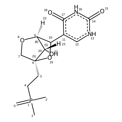 C=P(C)(C)CC[C@@]12CO[C@@H](C(c3c[nH]c(=O)[nH]c3=O)O1)[C@@H]2O